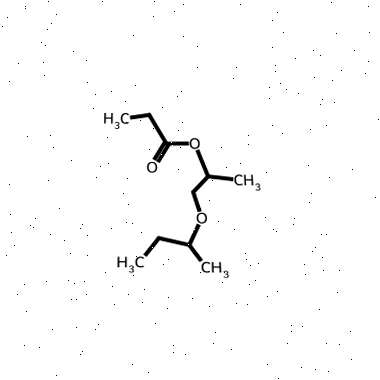 CCC(=O)OC(C)COC(C)CC